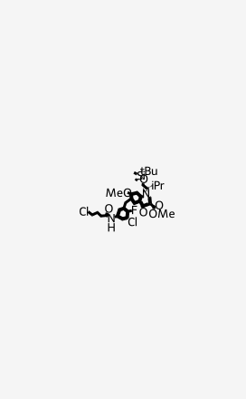 COC(=O)c1cn([C@H](CO[Si](C)(C)C(C)(C)C)C(C)C)c2cc(OC)c(Cc3cc(NC(=O)CCCCl)cc(Cl)c3F)cc2c1=O